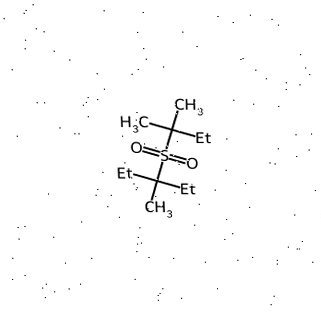 CCC(C)(C)S(=O)(=O)C(C)(CC)CC